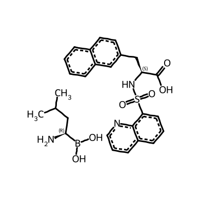 CC(C)C[C@H](N)B(O)O.O=C(O)[C@H](Cc1ccc2ccccc2c1)NS(=O)(=O)c1cccc2cccnc12